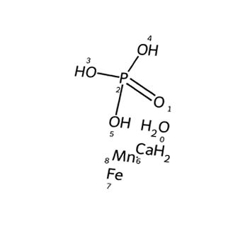 O.O=P(O)(O)O.[CaH2].[Fe].[Mn]